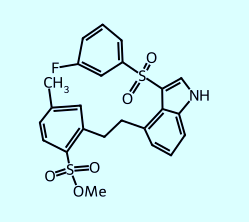 COS(=O)(=O)c1ccc(C)cc1CCc1cccc2[nH]cc(S(=O)(=O)c3cccc(F)c3)c12